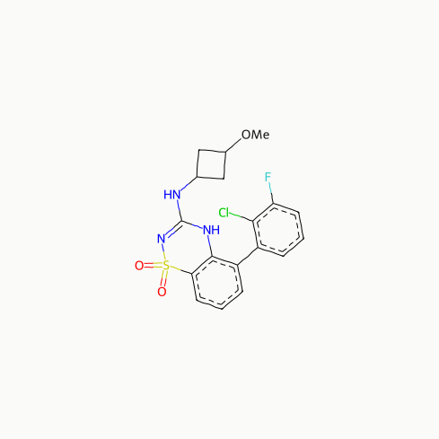 COC1CC(NC2=NS(=O)(=O)c3cccc(-c4cccc(F)c4Cl)c3N2)C1